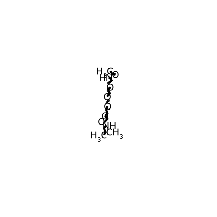 CC(=O)NCCOCCOCCOCCOCC(=O)NCC(C)C